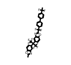 Cc1nc2cc(C(c3ccc4oc(C(F)(F)c5ccc(-c6ccc(C(C)(F)F)cc6)cc5)nc4c3)(C(F)(F)F)C(F)(F)F)ccc2o1